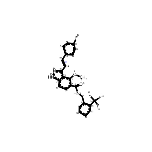 COc1c(C(=O)NCc2ccccc2C(F)(F)F)ccc2[nH]nc(/C=C/c3ccc(F)cc3)c12